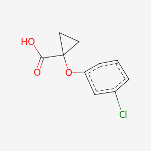 O=C(O)C1(Oc2cccc(Cl)c2)CC1